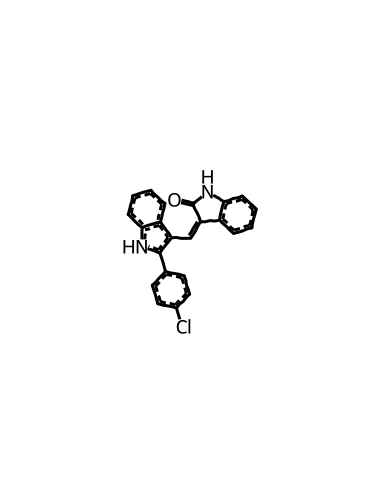 O=C1Nc2ccccc2C1=Cc1c(-c2ccc(Cl)cc2)[nH]c2ccccc12